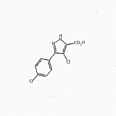 O=C(O)c1[nH]nc(-c2ccc(Cl)cc2)c1Cl